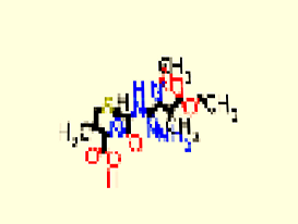 C=C1CS[C@@H]2C(NC(=NN)C(=NOC)C(C)C(=O)OCC)C(=O)N2C1C(=O)O